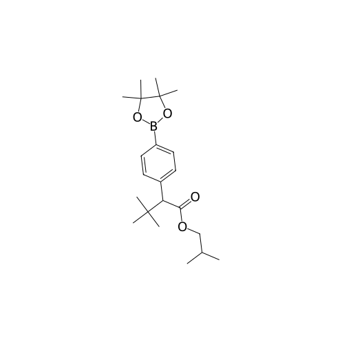 CC(C)COC(=O)C(c1ccc(B2OC(C)(C)C(C)(C)O2)cc1)C(C)(C)C